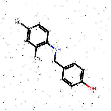 N#Cc1ccc(NCc2ccc(O)cc2)c([N+](=O)[O-])c1